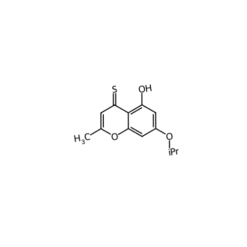 Cc1cc(=S)c2c(O)cc(OC(C)C)cc2o1